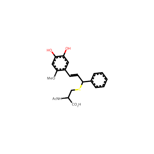 COc1cc(O)c(O)cc1/C=C/C(SCC(NC(C)=O)C(=O)O)c1ccccc1